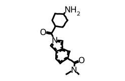 CN(C)C(=O)c1ccc2cn(C(=O)C3CCC(N)CC3)cc2c1